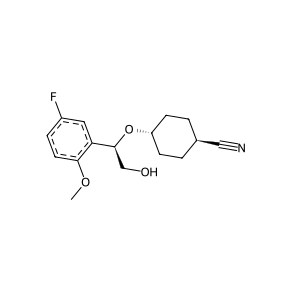 COc1ccc(F)cc1[C@H](CO)O[C@H]1CC[C@H](C#N)CC1